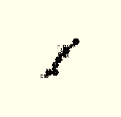 CCOc1cncc(-c2ccccc2CN2CCN(c3ccc(C(=O)NS(=O)(=O)c4ccc(NCCSc5ccccc5)c(C(F)(F)F)c4)cc3)CC2)c1